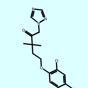 CC(C)(CCOc1ccc(Cl)cc1Cl)C(=O)Cn1cncn1